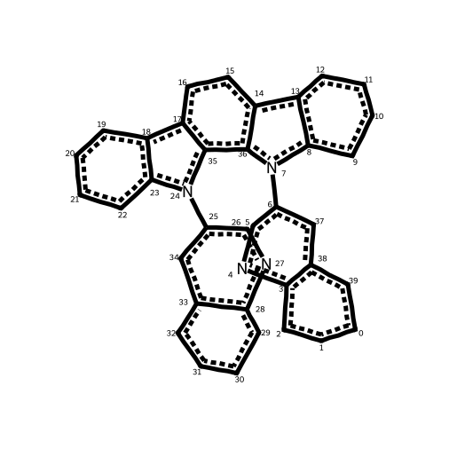 c1ccc2ncc(-n3c4ccccc4c4ccc5c6ccccc6n(-c6cnc7ccccc7c6)c5c43)cc2c1